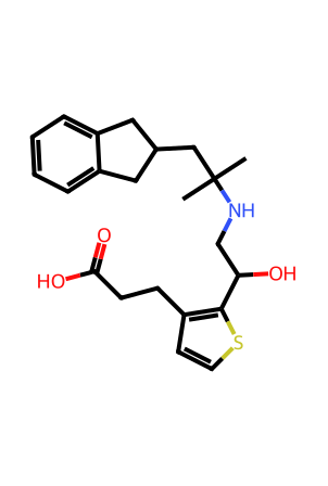 CC(C)(CC1Cc2ccccc2C1)NCC(O)c1sccc1CCC(=O)O